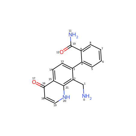 NCc1c(-c2ccccc2C(N)=O)ccc2c(=O)cc[nH]c12